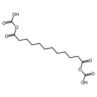 O=C(O)OC(=O)CCCCCCCCCCC(=O)OC(=O)O